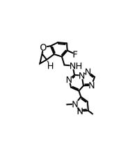 Cc1cc(-c2cnc(NCc3c(F)ccc4c3[C@H]3CC3O4)n3ncnc23)n(C)n1